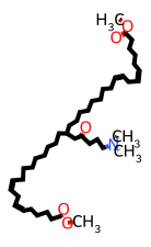 COC(=O)CCCC/C=C\C/C=C\CCCCCCCCC(CCCCCCCC/C=C\C/C=C\CCCCC(=O)OC)CC(=O)CCCN(C)C